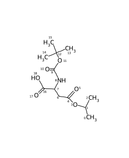 CC(C)OC(=O)CC(NC(=O)OC(C)(C)C)C(=O)O